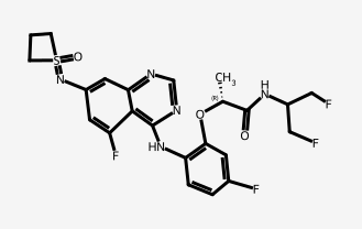 C[C@@H](Oc1cc(F)ccc1Nc1ncnc2cc(N=S3(=O)CCC3)cc(F)c12)C(=O)NC(CF)CF